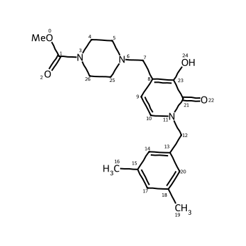 COC(=O)N1CCN(Cc2ccn(Cc3cc(C)cc(C)c3)c(=O)c2O)CC1